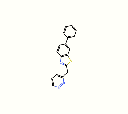 c1ccc(-c2ccc3nc(Cc4cccnn4)sc3c2)cc1